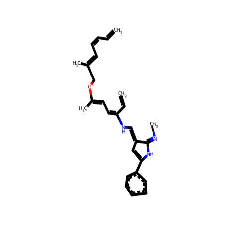 C=C/C=C\C=C(/C)CO/C(C)=C/C=C(\C=C)N/C=C1\C=C(c2ccccc2)N\C1=N\C